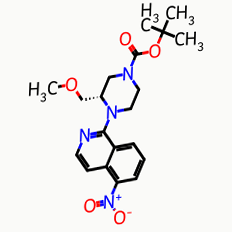 COC[C@@H]1CN(C(=O)OC(C)(C)C)CCN1c1nccc2c([N+](=O)[O-])cccc12